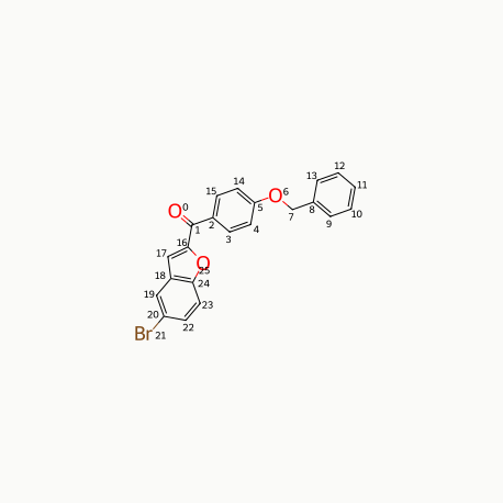 O=C(c1ccc(OCc2ccccc2)cc1)c1cc2cc(Br)ccc2o1